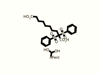 CCCCCC(O)O.O=C(O)CCCCCCCC(C(=O)O)(S(=O)(=O)c1ccccc1)S(=O)(=O)c1ccccc1